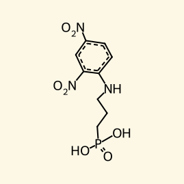 O=[N+]([O-])c1ccc(NCCCP(=O)(O)O)c([N+](=O)[O-])c1